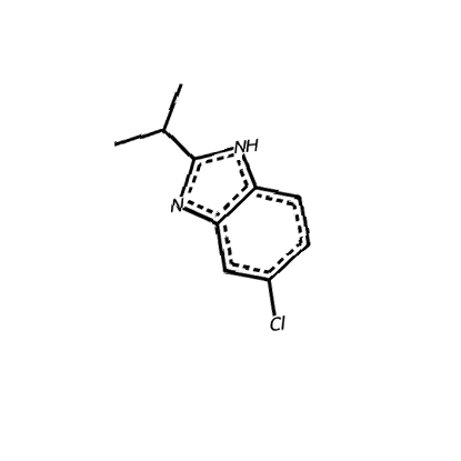 CC(C)c1nc2cc(Cl)ccc2[nH]1